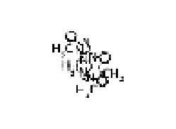 C=CC1c2ccccc2N2c3cnc(-c4ccccc4C)nc3N(C)C2C1C1N(C)C=CN1c1ccccc1C